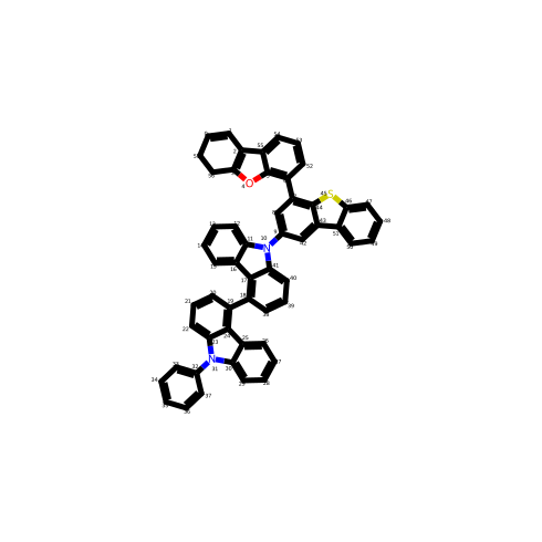 C1=Cc2c(oc3c(-c4cc(-n5c6ccccc6c6c(-c7cccc8c7c7ccccc7n8-c7ccccc7)cccc65)cc5c4sc4ccccc45)cccc23)CC1